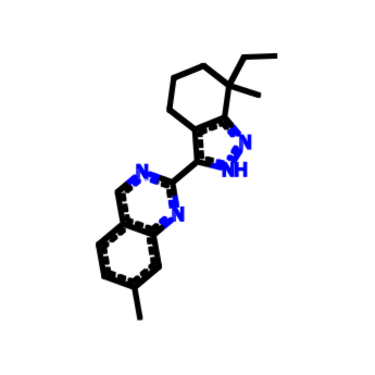 CCC1(C)CCCc2c1n[nH]c2-c1ncc2ccc(C)cc2n1